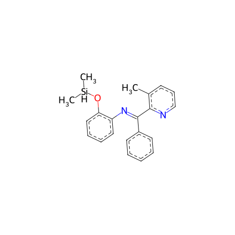 Cc1cccnc1C(=Nc1ccccc1O[SiH](C)C)c1ccccc1